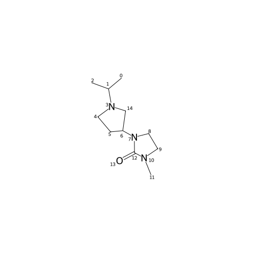 CC(C)N1CCC(N2CCN(C)C2=O)C1